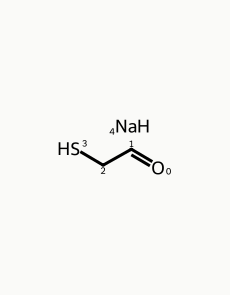 O=CCS.[NaH]